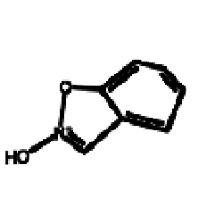 O[n+]1cc2ccccc2o1